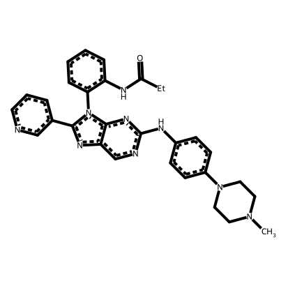 CCC(=O)Nc1ccccc1-n1c(-c2cccnc2)nc2cnc(Nc3ccc(N4CCN(C)CC4)cc3)nc21